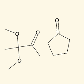 COC(C)(OC)C(C)=O.O=C1CCCC1